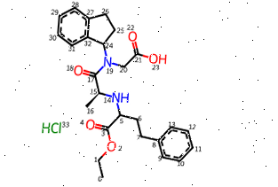 CCOC(=O)C(CCc1ccccc1)N[C@@H](C)C(=O)N(CC(=O)O)C1CCc2ccccc21.Cl